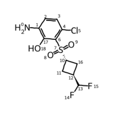 Nc1ccc(Cl)c(S(=O)(=O)[C@H]2C[C@H](C(F)F)C2)c1O